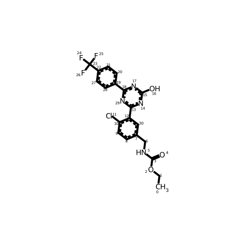 CCOC(=O)NCc1ccc(Cl)c(-c2nc(O)nc(-c3ccc(C(F)(F)F)cc3)n2)c1